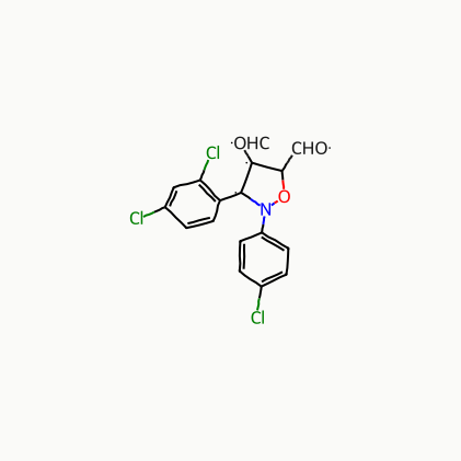 O=[C][C]1[C](c2ccc(Cl)cc2Cl)N(c2ccc(Cl)cc2)OC1[C]=O